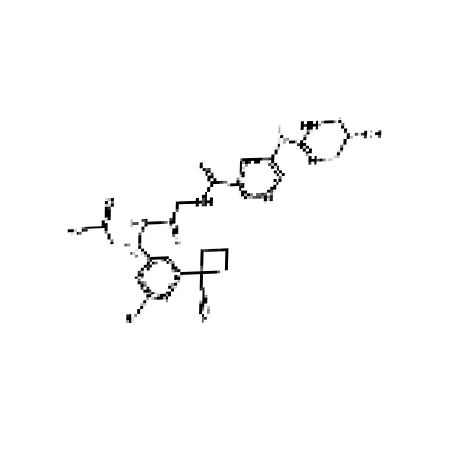 N#CC1(c2cc(Br)cc([C@H](CC(=O)O)NC(=O)CNC(=O)c3cncc(NC4=NCC(O)CN4)c3)c2)CCC1